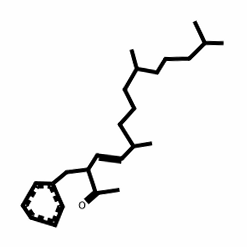 CC(=O)C(C=CC(C)CCCC(C)CCCC(C)C)Cc1ccccc1